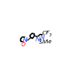 CSc1nc(-c2cccc(Cn3ccccc3=O)c2)cc(C(F)(F)F)n1